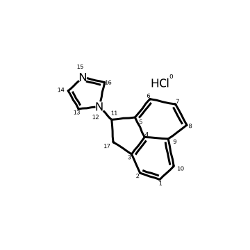 Cl.c1cc2c3c(cccc3c1)C(n1ccnc1)C2